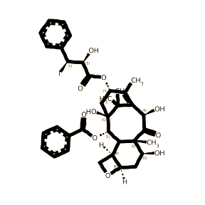 CC1=C2[C@@H](O)C(=O)[C@@]3(C)C([C@@H]4CO[C@@H]4C[C@@H]3O)[C@H](OC(=O)c3ccccc3)[C@](O)(C[C@@H]1OC(=O)[C@H](O)[C@@H](I)c1ccccc1)C2(C)C